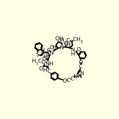 COC(=O)[C@@H]1Cc2ccc(cc2)OCCn2cc(nn2)COc2ccccc2C(=O)N[C@H](CC(C)C)C(=O)N2C[C@@H](O)C[C@@H]2C(=O)N(C)[C@@H](Cc2csc3ccccc23)C(=O)N1